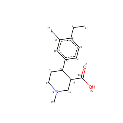 CCc1ccc(C2CCN(C)CC2C(=O)O)cc1I